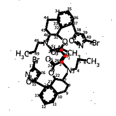 CCCN(CCC)C1CCc2cccc(-c3cc(Br)no3)c2C1OC(=O)/C=C\C(=O)OC1c2c(cccc2-c2cc(Br)no2)CCC1N(CCC)CCC